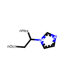 CCCCCCCCCC(CCCCCC)n1ccnc1